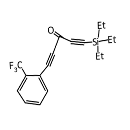 CC[Si](C#CC(=O)C#Cc1ccccc1C(F)(F)F)(CC)CC